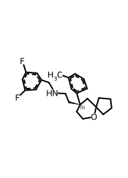 Cc1cccc([C@@]2(CCNCc3cc(F)cc(F)c3)CCOC3(CCCC3)C2)c1